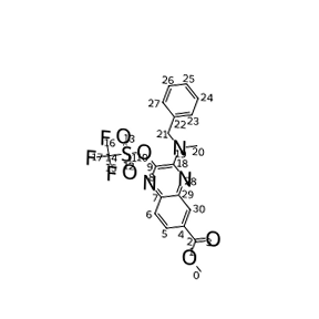 COC(=O)c1ccc2nc(OS(=O)(=O)C(F)(F)F)c(N(C)Cc3ccccc3)nc2c1